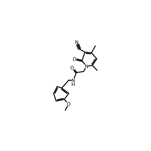 COc1cccc(CNC(=O)Cn2c(C)cc(C)c(C#N)c2=O)c1